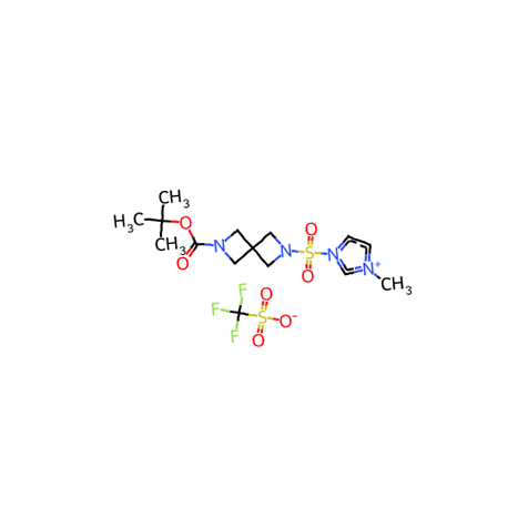 C[n+]1ccn(S(=O)(=O)N2CC3(CN(C(=O)OC(C)(C)C)C3)C2)c1.O=S(=O)([O-])C(F)(F)F